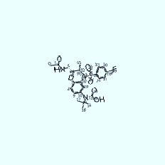 CC(=O)NC[C@H]1Oc2ccc(N(C(=O)O)C(C)(C)C)cc2N(S(=O)(=O)c2ccc(F)cc2)[C@@H]1C